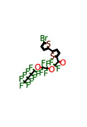 O=C(c1ccc(-c2ccc(Br)s2)s1)C(F)(F)OC(F)(F)C(F)(F)OC(F)(F)C(F)(F)C(F)(F)C(F)(F)F